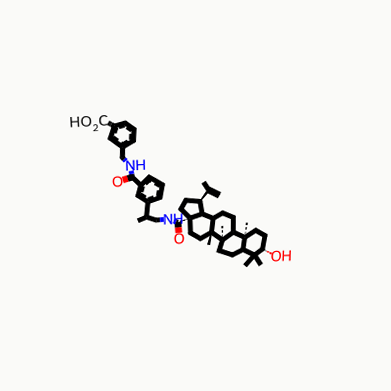 C=C(C)[C@@H]1CC[C@]2(C(=O)NCC(C)c3cccc(C(=O)NCc4cccc(C(=O)O)c4)c3)CC[C@]3(C)C(CCC4[C@@]5(C)CC[C@H](O)C(C)(C)C5CC[C@]43C)C12